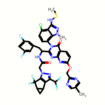 CSNc1nn(C)c2c(-n3c(C(Cc4cc(F)cc(F)c4)NC(=O)Cn4nc(C(F)F)c5c4C(F)(F)C4CC54)nc4nc(OCc5ncc(C)cn5)ccc4c3=O)ccc(Cl)c12